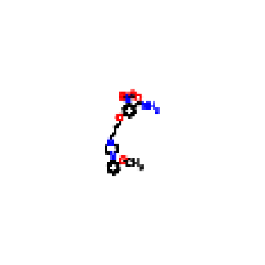 COc1ccccc1N1CCN(CCCCOc2ccc(C(N)=O)c([N+](=O)[O-])c2)CC1